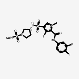 CNS(=O)(=O)N1CC[C@@H](NS(=O)(=O)c2cn(C)c(C(=O)Nc3ccc(F)c(F)c3)c2F)C1